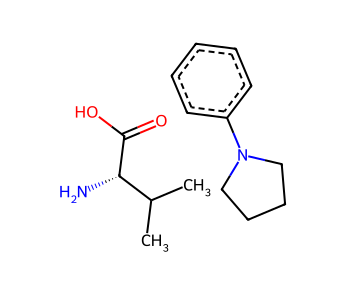 CC(C)[C@H](N)C(=O)O.c1ccc(N2CCCC2)cc1